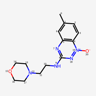 Cc1ccc2c(c1)nc(NCCN1CCOCC1)n[n+]2[O-]